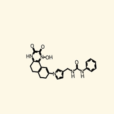 O=C(NCc1ccn(C2=CC3=C(CC2)CCc2[nH]c(=O)c(=O)n(O)c23)c1)Nc1ccccc1